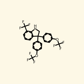 FC(F)(F)Oc1ccc(C2(c3ccc(OC(F)(F)F)cc3)CNc3c(C(F)(F)F)cccc32)cc1